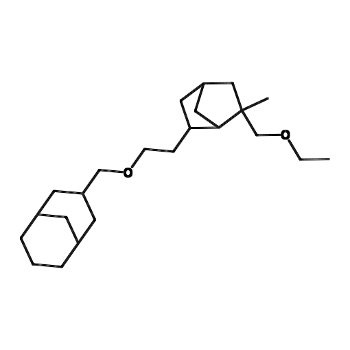 CCOCC1(C)CC2CC(CCOCC3CC4CCCC(C4)C3)C1C2